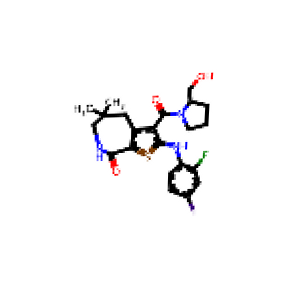 CC1(C)CNC(=O)c2sc(Nc3ccc(I)cc3F)c(C(=O)N3CCCC3CO)c2C1